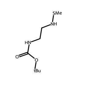 CSNCCNC(=O)OC(C)(C)C